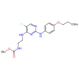 COCCOc1ccc(Nc2ncc(F)c(NCCNC(=O)OC(C)(C)C)n2)cc1